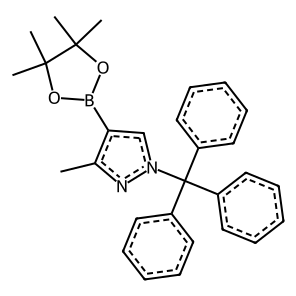 Cc1nn(C(c2ccccc2)(c2ccccc2)c2ccccc2)cc1B1OC(C)(C)C(C)(C)O1